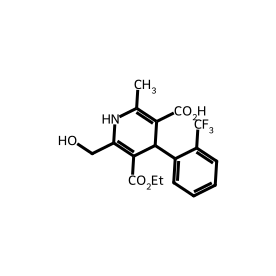 CCOC(=O)C1=C(CO)NC(C)=C(C(=O)O)C1c1ccccc1C(F)(F)F